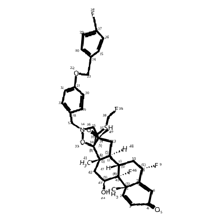 C[C@]12C=CC(=O)C=C1[C@@H](F)C[C@H]1[C@@H]3C[C@H]4CN(Cc5ccc(OCc6ccc(F)cc6)cc5)O[C@@]4(C(=O)SCF)[C@@]3(C)C[C@H](O)[C@@]12F